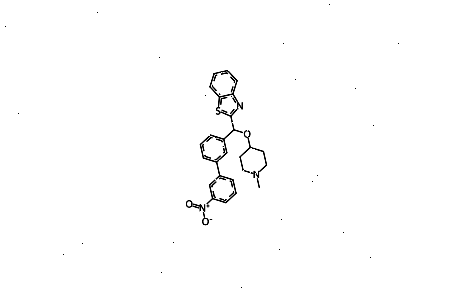 CN1CCC(OC(c2cccc(-c3cccc([N+](=O)[O-])c3)c2)c2nc3ccccc3s2)CC1